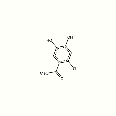 COC(=O)c1cc(O)c(O)cc1Cl